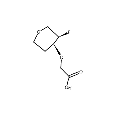 O=C(O)CO[C@H]1CCOC[C@H]1F